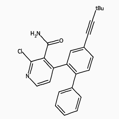 CC(C)(C)C#Cc1ccc(-c2ccccc2)c(-c2ccnc(Cl)c2C(N)=O)c1